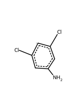 Nc1cc(Cl)[c]c(Cl)c1